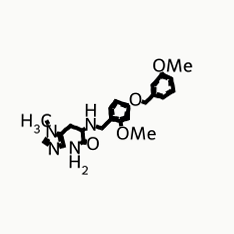 COc1cccc(COc2ccc(CNC(Cc3cncn3C)C(N)=O)c(OC)c2)c1